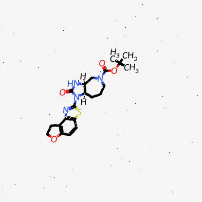 CC(C)(C)OC(=O)N1CCC[C@@H]2[C@H](C1)NC(=O)N2c1nc2c3c(ccc2s1)OCC3